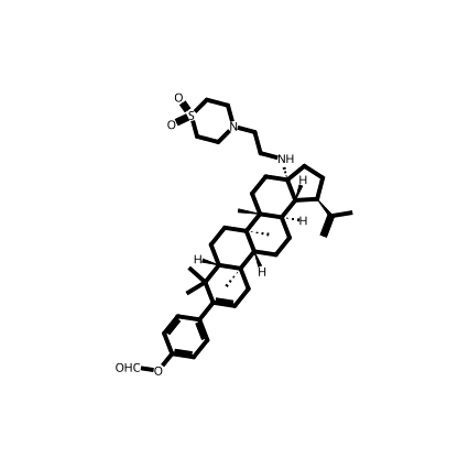 C=C(C)[C@@H]1CC[C@]2(NCCN3CCS(=O)(=O)CC3)CC[C@]3(C)[C@H](CC[C@@H]4[C@@]5(C)CC=C(c6ccc(OC=O)cc6)C(C)(C)[C@@H]5CC[C@]43C)[C@@H]12